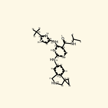 CC(C)NC(=O)c1cnc(Nc2ccc3c(c2)CNCC32CC2)nc1Nc1csc(C(C)(C)C)n1